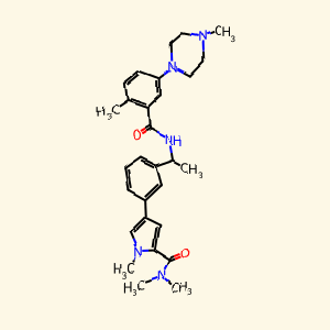 Cc1ccc(N2CCN(C)CC2)cc1C(=O)NC(C)c1cccc(-c2cc(C(=O)N(C)C)n(C)c2)c1